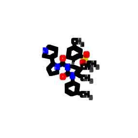 CC1=C(C)N(c2cccc(C)c2)C(=O)N(C(=O)N2CCCC2c2cccnc2)[C@@H]1c1ccc(C)cc1S(C)(=O)=O